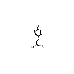 Cc1cnc(CCN(C)C)cn1